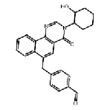 O=Cc1ccc(Cc2cc3c(=O)n(C4CCCCC4O)cnc3c3ccccc23)cn1